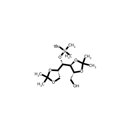 CC1(C)OC[C@@H]([C@H](O[Si](C)(C)C(C)(C)C)[C@H]2OC(C)(C)O[C@@H]2CO)O1